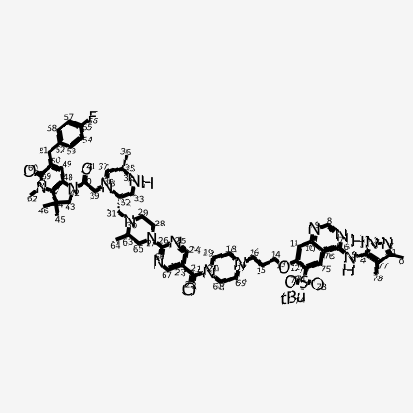 Cc1n[nH]c(Nc2ncnc3cc(OCCCN4CCN(C(=O)c5cnc(N6CCN(C[C@H]7CN[C@H](C)CN7CC(=O)N7CC(C)(C)c8c7cc(Cc7ccc(F)cc7)c(=O)n8C)C(C)C6)nc5)CC4)c(S(=O)(=O)C(C)(C)C)cc23)c1C